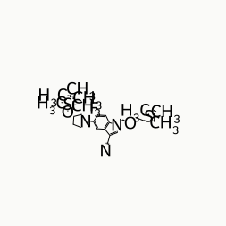 CC(C)(C)[Si](C)(C)OC1CCN(c2cc3c(C#N)cn(COCC[Si](C)(C)C)c3cc2F)C1